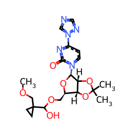 COCC1(C(O)OC[C@H]2O[C@@H](n3ccc(-n4cncn4)nc3=O)[C@@H]3OC(C)(C)O[C@@H]32)CC1